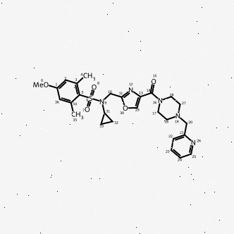 COc1cc(C)c(S(=O)(=O)N(Cc2nc(C(=O)N3CCN(Cc4ccccn4)CC3)co2)C2CC2)c(C)c1